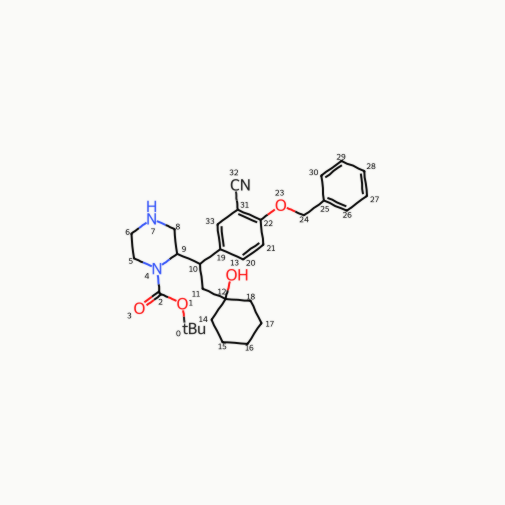 CC(C)(C)OC(=O)N1CCNCC1C(CC1(O)CCCCC1)c1ccc(OCc2ccccc2)c(C#N)c1